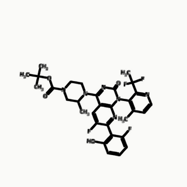 Cc1ccnc(C(C)(F)F)c1-n1c(=O)nc(N2CCN(C(=O)OC(C)(C)C)CC2C)c2cc(F)c(-c3c(O)cccc3F)nc21